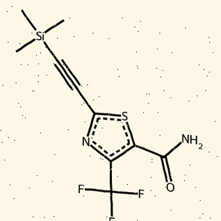 C[Si](C)(C)C#Cc1nc(C(F)(F)F)c(C(N)=O)s1